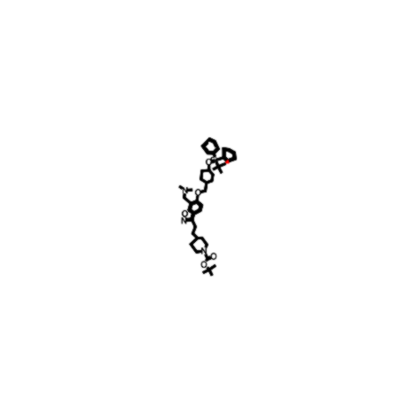 CN(C)Cc1c(OCC2CCC(O[Si](c3ccccc3)(c3ccccc3)C(C)(C)C)CC2)ccc2c(CCC3CCN(C(=O)OC(C)(C)C)CC3)noc12